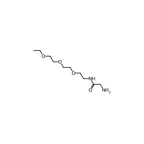 CCOCCOCCOCCNC(=O)CN